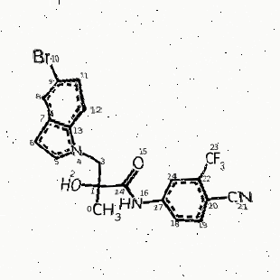 CC(O)(Cn1ccc2cc(Br)ccc21)C(=O)Nc1ccc(C#N)c(C(F)(F)F)c1